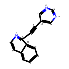 C(#Cc1nccc2ccccc12)c1cncnc1